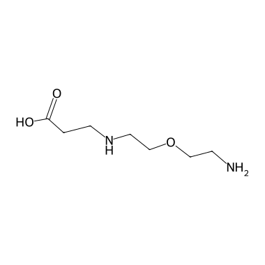 NCCOCCNCCC(=O)O